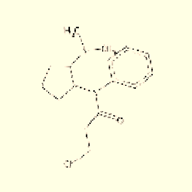 CN(C)C1CCCC1N(C(=O)CCCl)c1ccccc1